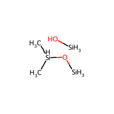 C[SiH](C)O[SiH3].O[SiH3]